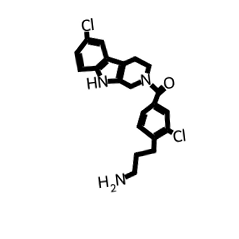 NCCCc1ccc(C(=O)N2CCc3c([nH]c4ccc(Cl)cc34)C2)cc1Cl